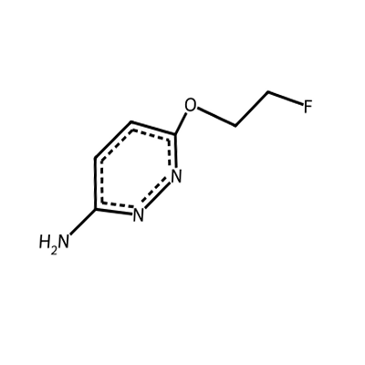 Nc1ccc(OCCF)nn1